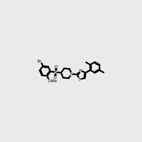 COc1ccc(Br)cc1S(=O)(=O)C1CCN(c2nc(-c3cc(C)ccc3C)cs2)CC1